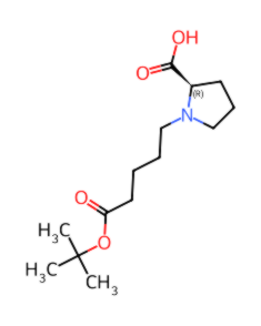 CC(C)(C)OC(=O)CCCCN1CCC[C@@H]1C(=O)O